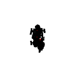 O=C(COc1ccc([C@]2(c3ccc(F)cc3)NC(=O)[C@@H]2SCC(=O)c2ccc(F)cc2)cc1)NCC(=O)N[C@@H](Cc1ccccc1)C(=O)O